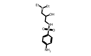 CCN(CC)CC(O)CNS(=O)(=O)c1ccc(N)cc1